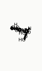 CC1=C(C#N)C(=O)C(CCOCCO)C(O)=C1/N=N/c1ccc(S(=O)(=O)NCC2CCCO2)cc1